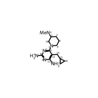 CNC1CCCN(c2nc(N)nc(N)c2CC2CC2)C1